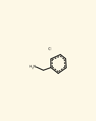 NCc1ccccc1.[C]